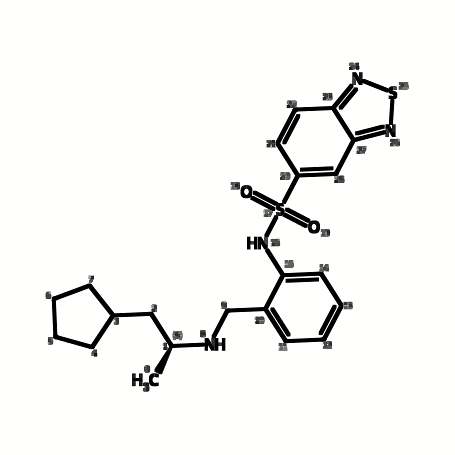 C[C@@H](CC1CCCC1)NCc1ccccc1NS(=O)(=O)c1ccc2nsnc2c1